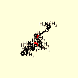 CC[C@H](C)[C@@H]([C@@H](CC(=O)N1CCC[C@H]1[C@H](OC)[C@@H](C)C(=O)N[C@@H](Cc1ccccc1)C(=O)OC)OC)N(C)C(=O)[C@@H](NC(=O)[C@@H]1[C@H]2CC[C@@H]([C@H]2C)N1CCCCCCOc1ccc(C)c(N)c1)C(C)C